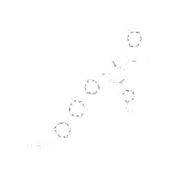 CCCCCCCOc1ccc(-c2cnc(-c3ccc(C[C@H](NC(=O)c4ccc(C(C)(C)C)s4)C(=O)N[C@@H](Cc4cccnc4)C(=O)O)cc3)nc2)cc1